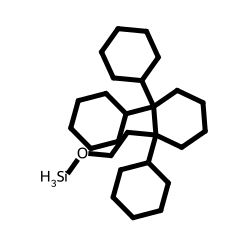 [SiH3]OCCC1(C2CCCCC2)CCCCC1(C1CCCCC1)C1CCCCC1